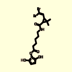 CC1(C)C(C=C(Br)Br)C1C(=O)NCCCCCC(=O)On1c(O)ccc1O